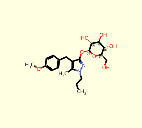 CCCn1nc(O[C@@H]2O[C@H](CO)[C@@H](O)[C@H](O)[C@H]2O)c(Cc2ccc(OC)cc2)c1C